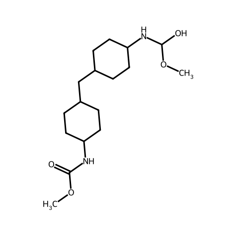 COC(=O)NC1CCC(CC2CCC(NC(O)OC)CC2)CC1